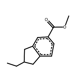 CCC1Cc2ccc(C(=O)OC)cc2C1